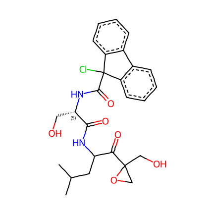 CC(C)CC(NC(=O)[C@H](CO)NC(=O)C1(Cl)c2ccccc2-c2ccccc21)C(=O)C1(CO)CO1